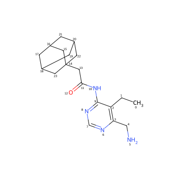 CCc1c(CN)ncnc1NC(=O)CC12CC3CC(CC(C3)C1)C2